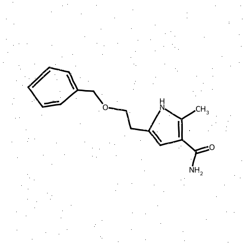 Cc1[nH]c(CCOCc2ccccc2)cc1C(N)=O